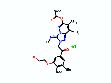 CC/N=c1\n(CC(=O)c2cc(OCCO)c(OC)c(C(C)(C)C)c2)nc2c(C)c(C)c(OC(=O)NC)nn12.Cl